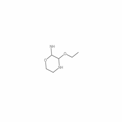 CCOC1NCCOC1[NH]